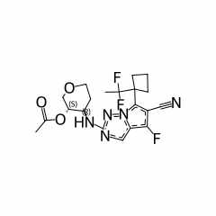 CC(=O)O[C@@H]1COCC[C@H]1Nc1ncc2c(F)c(C#N)c(C3(C(C)(F)F)CCC3)n2n1